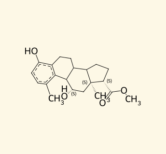 COC(=O)[C@H]1CCC2C3CCc4c(O)ccc(C)c4C3[C@@H](O)C[C@@]21C